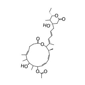 CC[C@@H]1OC(=O)C[C@@](O)(C/C=C/C=C(\C)C2OC(=O)CC/C=C(\C)C(C)[C@H](O)C(C)C(OC(C)=O)/C=C\C=C/[C@@H]2C)C1C